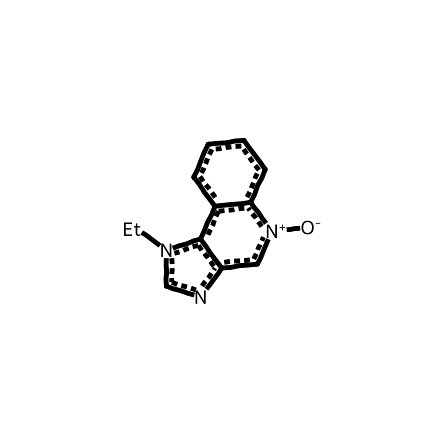 CCn1cnc2c[n+]([O-])c3ccccc3c21